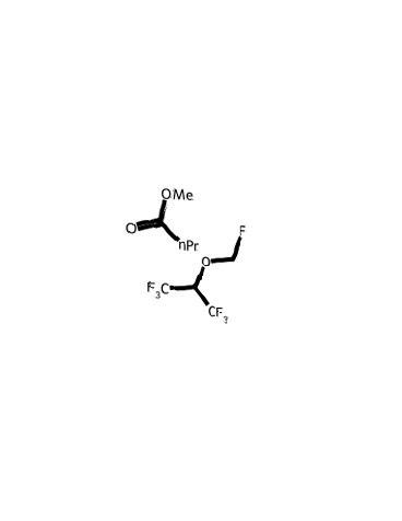 CCCC(=O)OC.FCOC(C(F)(F)F)C(F)(F)F